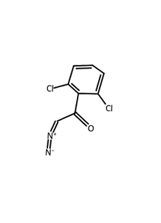 [N-]=[N+]=CC(=O)c1c(Cl)cccc1Cl